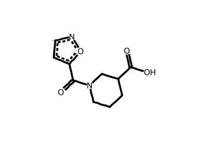 O=C(O)C1CCCN(C(=O)c2c[c]no2)C1